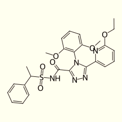 CCOc1cccc(-c2nnc(C(=O)NS(=O)(=O)C(C)c3ccccc3)n2-c2c(OC)cccc2OC)n1